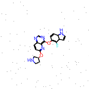 FC1=C(Oc2ncnc3ccc(O[C@H]4CCNC4)nc23)C=CC2NC=CC12